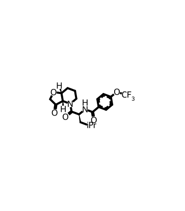 CC(C)C[C@H](NC(=O)c1ccc(OC(F)(F)F)cc1)C(=O)N1CCC[C@H]2OCC(=O)[C@H]21